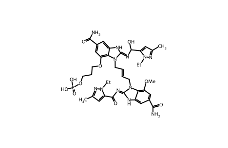 CCn1nc(C)cc1C(=O)/N=c1\[nH]c2cc(C(N)=O)cc(OC)c2n1C/C=C/Cn1/c(=N/C(O)c2cc(C)nn2CC)[nH]c2cc(C(N)=O)cc(OCCCOP(=O)(O)O)c21